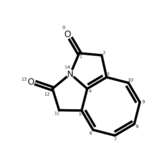 O=C1CC2=C3C(=C/C=C\C=C/2)\CC(=O)N13